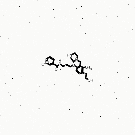 Cc1c(CCO)ccc(OCCCNC(=O)c2ccc[n+]([O-])c2)c1CN1CCNCC1